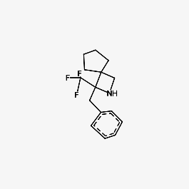 FC(F)(F)C1(Cc2ccccc2)NCC12CCCC2